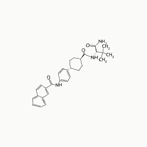 CC(C)(C)[C@H](NC(=O)[C@H]1CC[C@H](c2ccc(NC(=O)c3ccc4ccccc4c3)cc2)CC1)C(N)=O